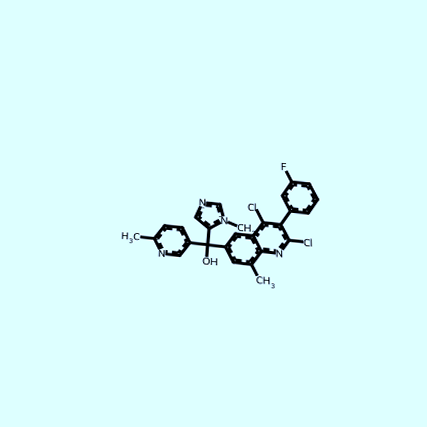 Cc1ccc(C(O)(c2cc(C)c3nc(Cl)c(-c4cccc(F)c4)c(Cl)c3c2)c2cncn2C)cn1